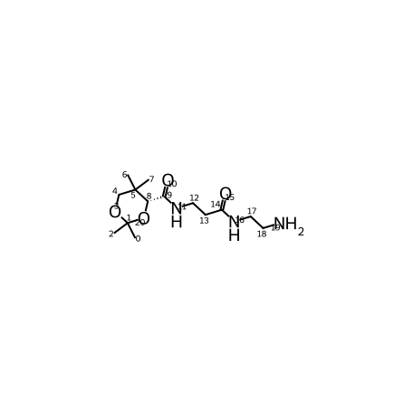 CC1(C)OCC(C)(C)[C@H](C(=O)NCCC(=O)NCCN)O1